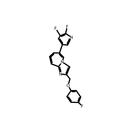 Fc1ccc(OCc2cn3c(n2)C=C=CC(c2cnc(F)c(F)c2)=C3)cc1